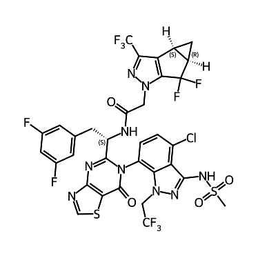 CS(=O)(=O)Nc1nn(CC(F)(F)F)c2c(-n3c([C@H](Cc4cc(F)cc(F)c4)NC(=O)Cn4nc(C(F)(F)F)c5c4C(F)(F)[C@@H]4C[C@H]54)nc4ncsc4c3=O)ccc(Cl)c12